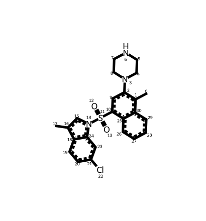 Cc1c(N2CCNCC2)cc(S(=O)(=O)n2cc(C)c3ccc(Cl)cc32)c2ccccc12